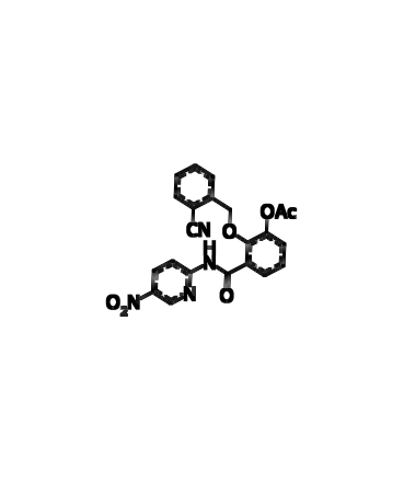 CC(=O)Oc1cccc(C(=O)Nc2ccc([N+](=O)[O-])cn2)c1OCc1ccccc1C#N